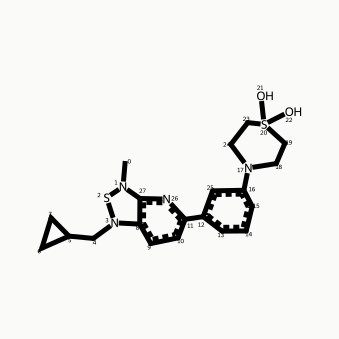 CN1SN(CC2CC2)c2ccc(-c3cccc(N4CCS(O)(O)CC4)c3)nc21